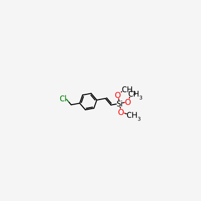 CO[Si](C=Cc1ccc(CCl)cc1)(OC)OC